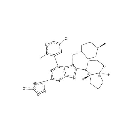 Cc1ncc(Cl)cc1-c1nc(-c2noc(=O)[nH]2)nc2nc(N3CCO[C@H]4CCC[C@@H]43)n(C[C@H]3CC[C@H](C)CC3)c12